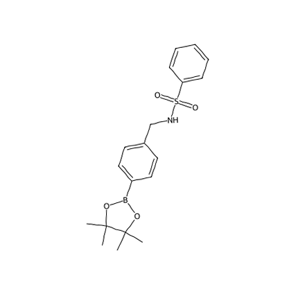 CC1(C)OB(c2ccc(CNS(=O)(=O)c3ccccc3)cc2)OC1(C)C